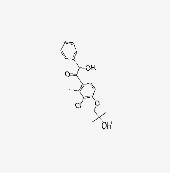 Cc1c(C(=O)C(O)c2ccccc2)ccc(OCC(C)(C)O)c1Cl